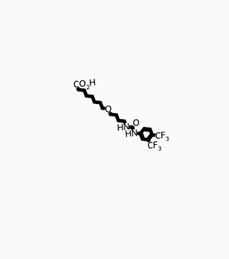 O=C(O)CCCCCCCOCCCCNC(=O)Nc1ccc(C(F)(F)F)c(C(F)(F)F)c1